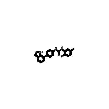 Cc1ccc(F)c(NC(=O)Nc2ccc(-c3cccc4cn[nH]c34)cc2)c1